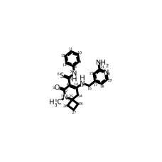 CN1C(=O)C(C(=S)Nc2ccccc2)=C(NCc2ccnc(N)c2)CC12CCC2